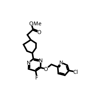 COC(=O)CC1CCC(c2ncc(F)c(OCc3ccc(Cl)cn3)n2)CC1